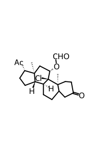 CC(=O)[C@H]1CC[C@H]2[C@@H]3CCC4CC(=O)CC[C@]4(C)[C@@]3(Cl)[C@@H](OC=O)C[C@]12C